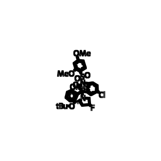 COc1ccc(S(=O)(=O)N2C(=O)C(c3ccccc3OC)(N3CC(F)C[C@H]3C(=O)OC(C)(C)C)c3cc(Cl)ccc32)c(OC)c1